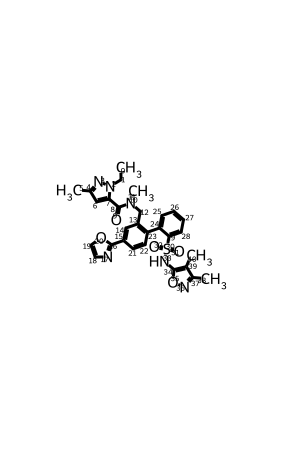 CCn1nc(C)cc1C(=O)N(C)Cc1cc(-c2ncco2)ccc1-c1ccccc1S(=O)(=O)Nc1onc(C)c1C